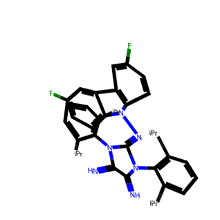 CC(C)c1cccc(C(C)C)c1N1C(=N)C(=N)N(c2c(C(C)C)cccc2C(C)C)C1=Nn1c2ccc(F)cc2c2cc(F)ccc21